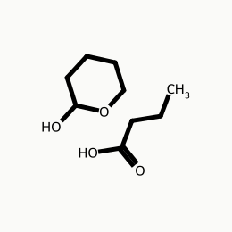 CCCC(=O)O.OC1CCCCO1